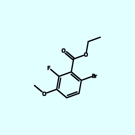 CCOC(=O)c1c(Br)ccc(OC)c1F